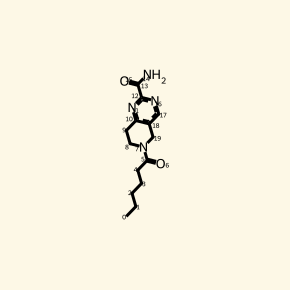 CCCCCC(=O)N1CCc2nc(C(N)=O)ncc2C1